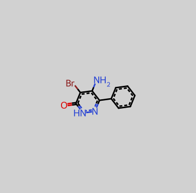 Nc1c(-c2ccccc2)n[nH]c(=O)c1Br